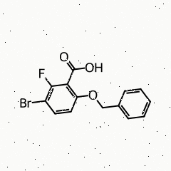 O=C(O)c1c(OCc2ccccc2)ccc(Br)c1F